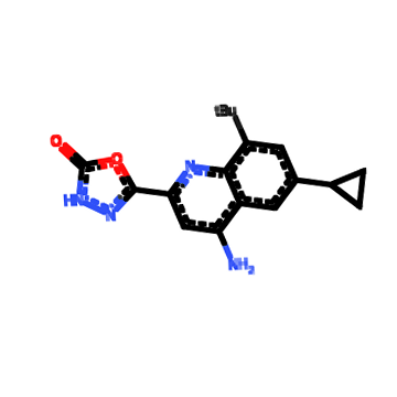 CC(C)(C)c1cc(C2CC2)cc2c(N)cc(-c3n[nH]c(=O)o3)nc12